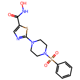 O=C(NO)c1cnc(N2CCN(S(=O)(=O)c3ccccc3)CC2)s1